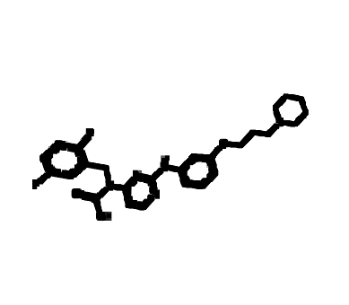 O=C(O)N(Cc1cc(F)ccc1F)c1ccnc(Nc2cccc(OCCCN3CCCCC3)c2)n1